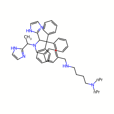 CCCN(CCC)CCCCNCc1ccc(CN(C(C)c2ncc[nH]2)C(c2ncc[nH]2)C(c2ccccc2)(c2ccccc2)c2ccccc2)cc1